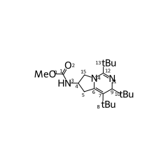 COC(=O)NC1CC2=C(C(C)(C)C)C(C(C)(C)C)N=C(C(C)(C)C)N2C1